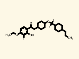 CCCC1CCC(C(F)(F)OC2CCC(CC(=O)c3ccc(OCC)c(F)c3O)CC2)CC1